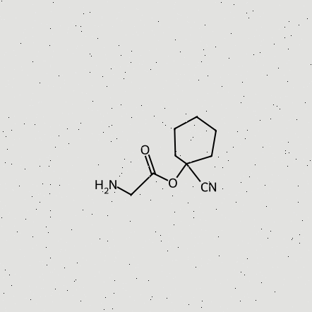 N#CC1(OC(=O)CN)CCCCC1